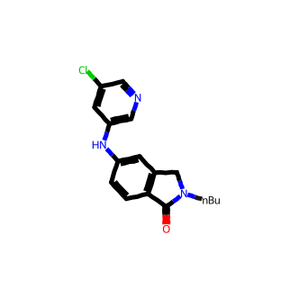 CCCCN1Cc2cc(Nc3cncc(Cl)c3)ccc2C1=O